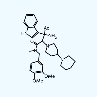 COc1ccc(CN(C)C(=O)C(N2CCC(N3CCCCC3)CC2)C(N)(C(C)=O)c2c[nH]c3ccccc23)cc1OC